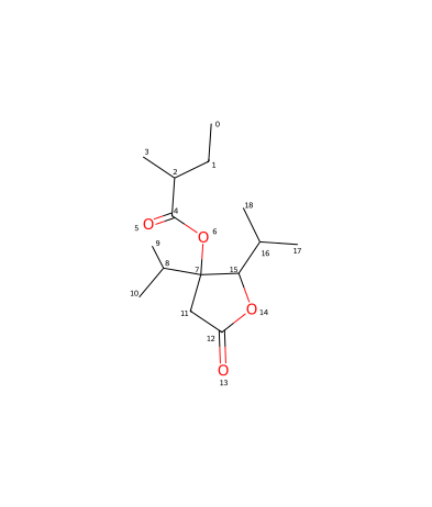 CCC(C)C(=O)OC1(C(C)C)CC(=O)OC1C(C)C